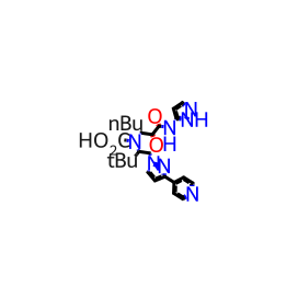 CCCC[C@@H](C(=O)C(=O)Nc1ccn[nH]1)N(C(=O)O)C(Cn1ccc(-c2ccncc2)n1)C(C)(C)C